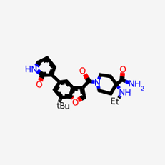 CCNC1(C(N)=O)CCN(C(=O)c2coc3c(C(C)(C)C)cc(-c4ccc[nH]c4=O)cc23)CC1